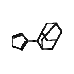 [C]1=C(C2C3CC4CC(C3)CC2C4)C=CC1